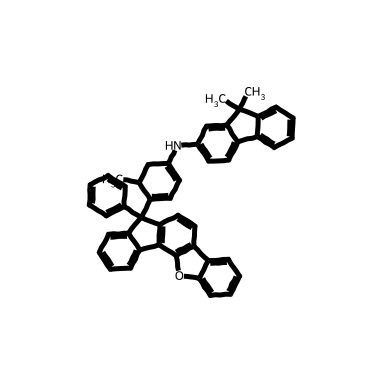 CC1CC(Nc2ccc3c(c2)C(C)(C)c2ccccc2-3)=CC=C1C1(c2ccccc2)c2ccccc2-c2c1ccc1c2oc2ccccc21